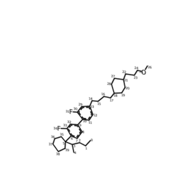 CCCC(C)C1(c2ccc(-c3ccc(CCCCC4CCC(CCCOC)CC4)cc3F)cc2F)CCCCC1